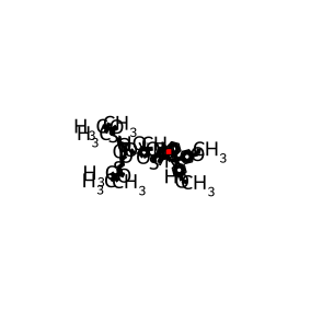 COc1ccc(C(Nc2ncnc3c([C@@H]4O[C@H](COP(=O)(OCCSC(=O)C(C)(C)C)OCCSC(=O)C(C)(C)C)[C@@H](O)[C@@]4(C)O)scc23)(c2ccccc2)c2ccc(OC)cc2)cc1